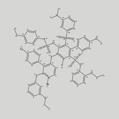 CCOc1cccc(Sc2c(Br)ccc(Sc3c(F)c(S(=O)(=O)Oc4ccccc4OCC)c(-c4ccc(OC)cc4)c(S(=O)(=O)c4cccc(C(C)C)c4)c3OS(=O)(=O)Sc3ccc(CC)cc3)c2-c2ccc(Cl)cc2)c1